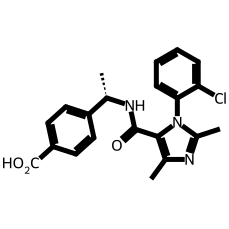 Cc1nc(C)n(-c2ccccc2Cl)c1C(=O)N[C@@H](C)c1ccc(C(=O)O)cc1